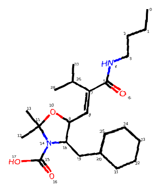 CCCCNC(=O)/C(=C/C1OC(C)(C)N(C(=O)O)C1CC1CCCCC1)C(C)C